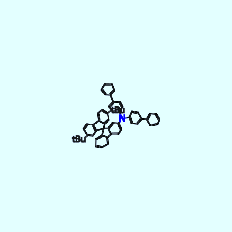 CC(C)(C)c1ccc2c(c1)C1(c3ccccc3-c3ccc(N(c4ccc(-c5ccccc5)cc4)c4ccc(-c5ccccc5)cc4)cc31)c1cc(C(C)(C)C)ccc1-2